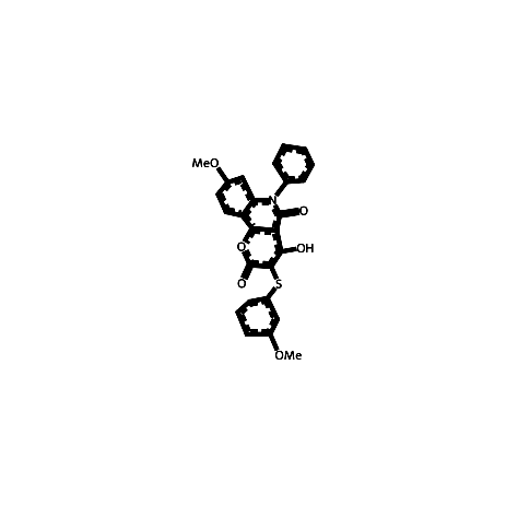 COc1cccc(Sc2c(O)c3c(=O)n(-c4ccccc4)c4cc(OC)ccc4c3oc2=O)c1